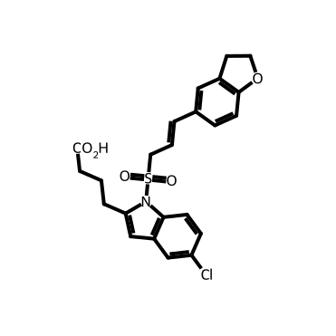 O=C(O)CCCc1cc2cc(Cl)ccc2n1S(=O)(=O)CC=Cc1ccc2c(c1)CCO2